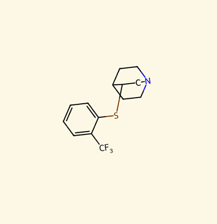 FC(F)(F)c1ccccc1SC1CN2CCC1CC2